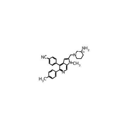 Cc1ccc(-c2ncc3c(cc(CN4CCC[C@H](N)C4)n3C)c2-c2ccc(C#N)cc2)cc1